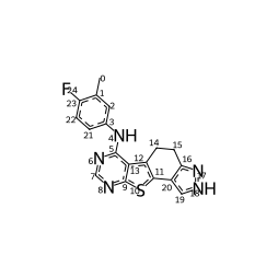 Cc1cc(Nc2ncnc3sc4c(c23)CCc2n[nH]cc2-4)ccc1F